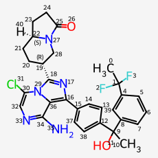 CC(F)(F)c1cccc(C(C)(O)c2ccc(-c3nc([C@@H]4CC[C@H]5CCC(=O)N5C4)n4c(Cl)cnc(N)c34)cc2)c1